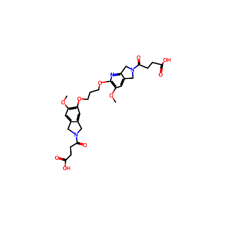 COc1cc2c(cc1OCCCOc1nc3c(cc1OC)CN(C(=O)CCC(=O)O)C3)CN(C(=O)CCC(=O)O)C2